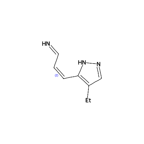 CCc1cn[nH]c1/C=C\C=N